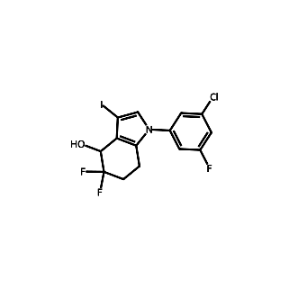 OC1c2c(I)cn(-c3cc(F)cc(Cl)c3)c2CCC1(F)F